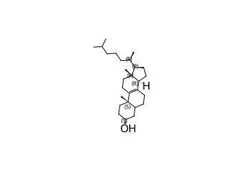 CC(C)CCC[C@@H](C)[C@H]1CC[C@H]2C3=C(CC[C@]12C)[C@@]1(C)CC[C@H](O)CC1CC3